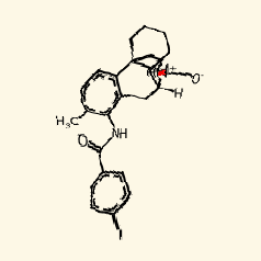 Cc1ccc2c(c1NC(=O)c1ccc(I)cc1)C[C@@H]1[C@@H]3CCCC[C@]23CC[NH+]1[O-]